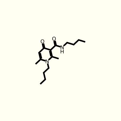 CCCCNC(=O)c1c(C)n(CCCC)c(C)cc1=O